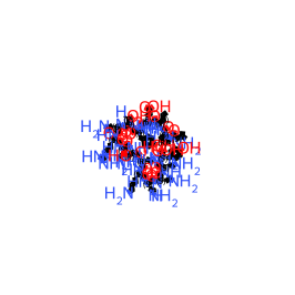 CC[C@H](C)[C@H](NC(=O)[C@@H]1C[C@@H](O)CN1C(=O)[C@@H](N)C(C)C)C(=O)N[C@@H](CCC(=O)O)C(=O)N[C@@H](Cc1ccc(O)cc1)C(=O)N[C@H](C(=O)N[C@@H](CC(N)=O)C(=O)N[C@@H](CCCNC(=N)N)C(=O)N[C@@H](CCN)C(=O)N[C@H](C(=O)N[C@H](CCN)C(=O)N[C@@H](CCCCN)C(=O)N[C@@H](CCN)C(=O)N[C@@H](CCN)C(=O)N[C@@H](CCN)C(=O)N[C@@H](Cc1ccc(O)cc1)C(=O)O)[C@@H](C)O)[C@@H](C)O